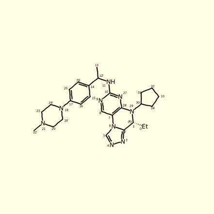 CC[C@@H]1c2nncn2-c2cnc(NC(C)c3ccc(N4CCN(C)CC4)cc3)nc2N1C1CCCC1